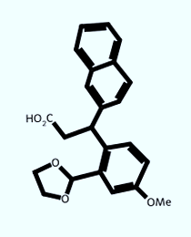 COc1ccc(C(CC(=O)O)c2ccc3ccccc3c2)c(C2OCCO2)c1